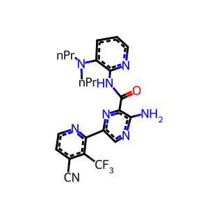 CCCN(CCC)c1cccnc1NC(=O)c1nc(-c2nccc(C#N)c2C(F)(F)F)cnc1N